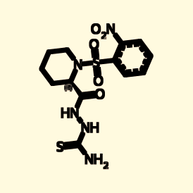 NC(=S)NNC(=O)[C@H]1CCCCN1S(=O)(=O)c1ccccc1[N+](=O)[O-]